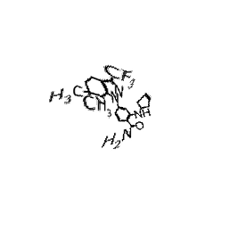 CC1(C)CCc2c(C(F)(F)F)nn(-c3ccc(C(N)=O)c(NC4CCCC4)c3)c2C1